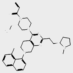 C=CC(=O)N1CCN(c2nc(CC[C@H]3CCCN3C)nc3c2CCN(c2cccc4cccc(C)c24)C3)C[C@@H]1CC#N